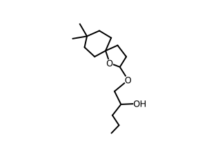 CCCC(O)COC1CCC2(CCC(C)(C)CC2)O1